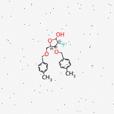 Cc1ccc(COC[C@H]2OC(O)[C@@H](F)[C@@H]2OCc2ccc(C)cc2)cc1